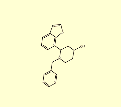 OC1CCN(Cc2ccccc2)C(c2cccc3ccsc23)C1